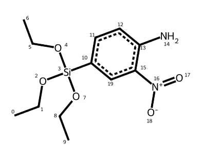 CCO[Si](OCC)(OCC)c1ccc(N)c([N+](=O)[O-])c1